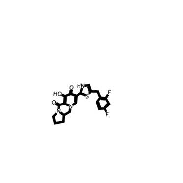 O=C1c2c(O)c(=O)c(C3NC=C(Cc4ccc(F)cc4F)S3)cn2CC2CCCN12